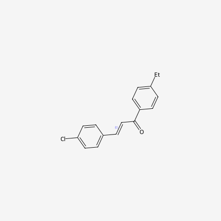 CCc1ccc(C(=O)/C=C/c2ccc(Cl)cc2)cc1